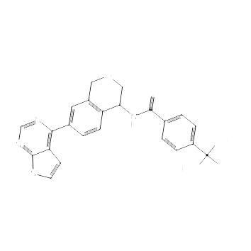 CC(C)(C)c1ccc(C(=O)NC2COCc3cc(-c4ncnc5[nH]ccc45)ccc32)cc1